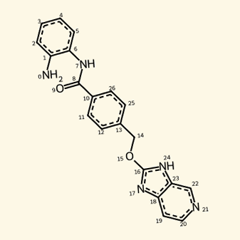 Nc1ccccc1NC(=O)c1ccc(COc2nc3ccncc3[nH]2)cc1